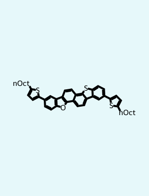 CCCCCCCCc1ccc(-c2ccc3oc4c(ccc5c4ccc4c6cc(-c7ccc(CCCCCCCC)s7)ccc6sc45)c3c2)s1